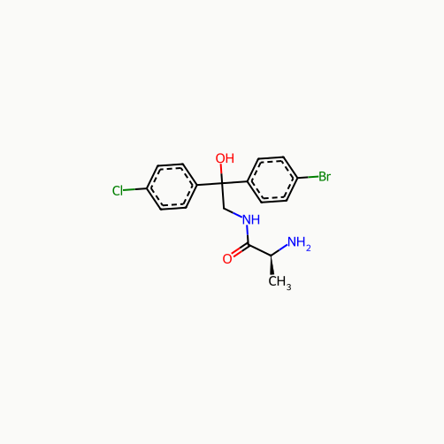 C[C@H](N)C(=O)NCC(O)(c1ccc(Cl)cc1)c1ccc(Br)cc1